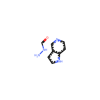 NNC=O.c1cc2[nH]ccc2cn1